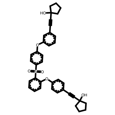 O=S(=O)(c1ccc(Oc2cccc(C#CC3(O)CCCC3)c2)cc1)c1ccccc1Oc1ccc(C#CC2(O)CCCC2)cc1